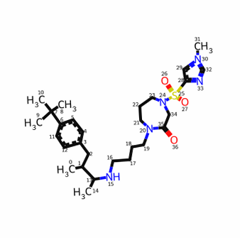 CC(Cc1ccc(C(C)(C)C)cc1)C(C)NCCCCN1CCCN(S(=O)(=O)c2cn(C)cn2)CC1=O